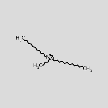 CCCCCCCCCCCCCn1cc[n+](CCCCCCCCCCCC)c1CCCC